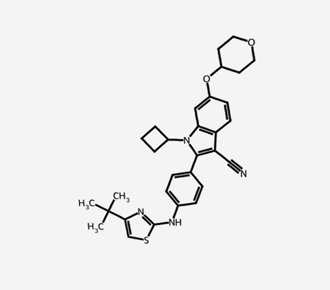 CC(C)(C)c1csc(Nc2ccc(-c3c(C#N)c4ccc(OC5CCOCC5)cc4n3C3CCC3)cc2)n1